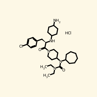 CCN(CC)C(=O)N(C1CCCCCC1)C1CCN(C(=O)[C@@H](Cc2ccc(Cl)cc2)NC2CCC(N)CC2)CC1.Cl